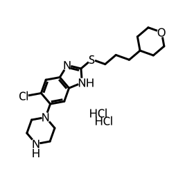 Cl.Cl.Clc1cc2nc(SCCCC3CCOCC3)[nH]c2cc1N1CCNCC1